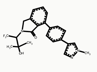 Cn1cc(-c2ccc(-c3cccc4c3C(=O)N(C(C(C)(C)O)C(F)(F)F)C4)cc2)cn1